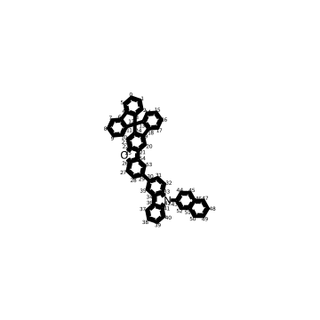 c1ccc2c(c1)-c1ccccc1C21c2ccccc2-c2cc3c(cc21)oc1ccc(-c2ccc4c(c2)c2ccccc2n4-c2ccc4ccccc4c2)cc13